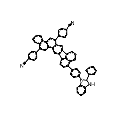 N#Cc1ccc(-c2cc3c4cc5c(cc4c(-c4ccc(C#N)cc4)cc3c3ccccc23)-c2cccc3c(-c4ccc(N6c7ccccc7NC6c6ccccc6)cc4)ccc-5c23)cc1